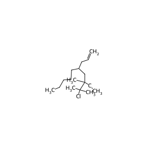 C=CCC(CCCCC)CC(C)(CC)C(C)(C)Cl